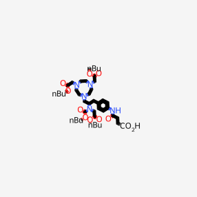 CCCCOC(=O)CN1CCN(CC(=O)OCCCC)CCN(CC(Cc2ccc(NC(=O)CCC(=O)O)cc2)N(CC(=O)OCCCC)C(=O)OCCCC)CC1